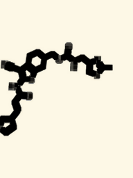 Cc1nc(CNC(=O)OCC2CCc3c(sc(NC(=O)C=Cc4ccoc4)c3C#N)C2)cs1